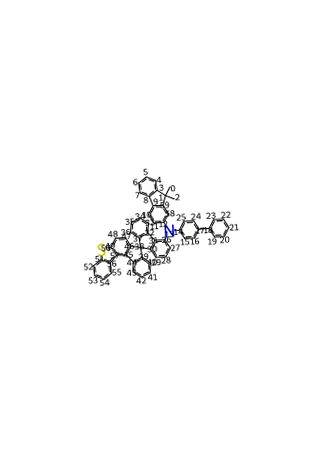 CC1(C)c2ccccc2-c2ccc(N(c3ccc(-c4ccccc4)cc3)c3cccc4c3-c3ccccc3C43c4ccccc4-c4c3ccc3sc5ccccc5c43)cc21